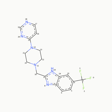 FC(F)(F)c1ccc2nc(CN3CCN(c4ccncn4)CC3)[nH]c2c1